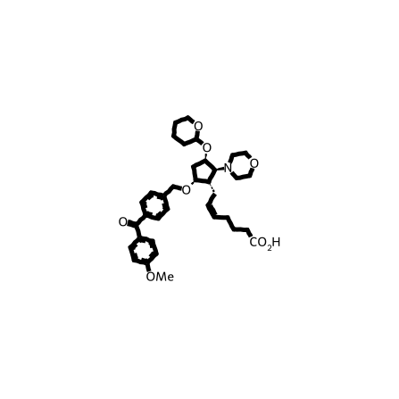 COc1ccc(C(=O)c2ccc(CO[C@@H]3C[C@H](OC4CCCCO4)[C@@H](N4CCOCC4)[C@@H]3C/C=C\CCCC(=O)O)cc2)cc1